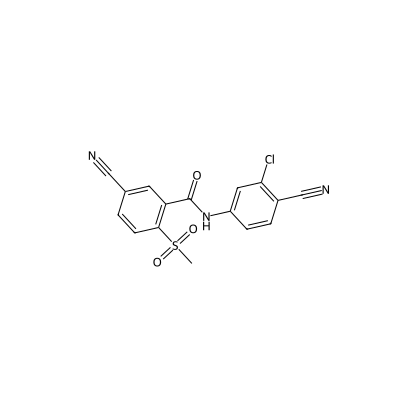 CS(=O)(=O)c1ccc(C#N)cc1C(=O)Nc1ccc(C#N)c(Cl)c1